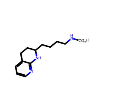 O=C(O)NCCCCC1CCc2cccnc2N1